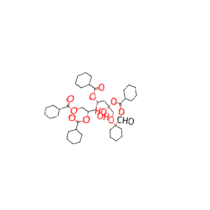 O=CC1(OCC(O)(CC(OC(=O)C2CCCCC2)C(O)C(COC(=O)C2CCCCC2)OC(=O)C2CCCCC2)OC(=O)C2CCCCC2)CCCCC1